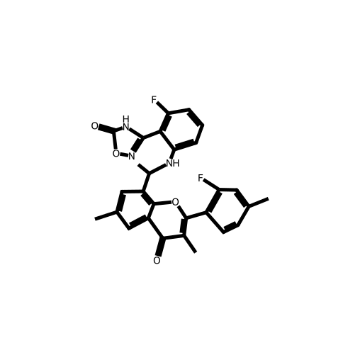 Cc1ccc(-c2oc3c(C(C)Nc4cccc(F)c4-c4noc(=O)[nH]4)cc(C)cc3c(=O)c2C)c(F)c1